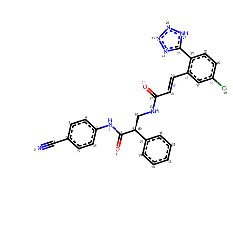 N#Cc1ccc(NC(=O)[C@@H](CNC(=O)/C=C/c2cc(Cl)ccc2-c2nnn[nH]2)c2ccccc2)cc1